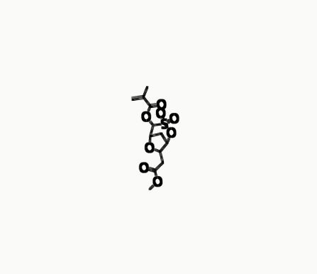 C=C(C)C(=O)OC1C2CC(OS1(=O)=O)C(CC(=O)OC)O2